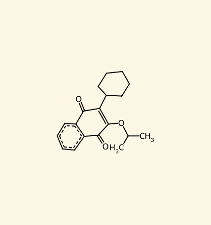 CC(C)OC1=C(C2CCCCC2)C(=O)c2ccccc2C1=O